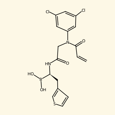 C=CC(=O)N(CC(=O)N[C@@H](Cc1ccsc1)B(O)O)c1cc(Cl)cc(Cl)c1